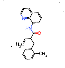 C=CC(Cc1ccccc1C)C(=O)Nc1cccc2cccnc12